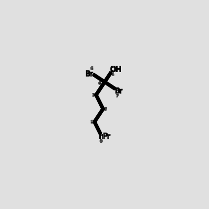 CCCCCCC(O)(Br)Br